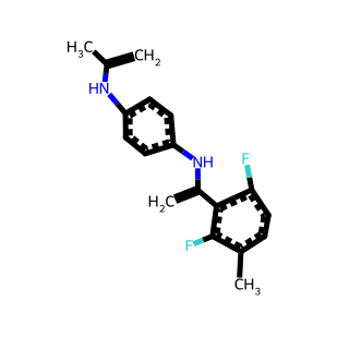 C=C(C)Nc1ccc(NC(=C)c2c(F)ccc(C)c2F)cc1